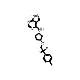 Cc1ccc(C(F)(F)CO[C@H]2CC[C@H](Nc3ncnc4[nH]ncc34)C2)cc1